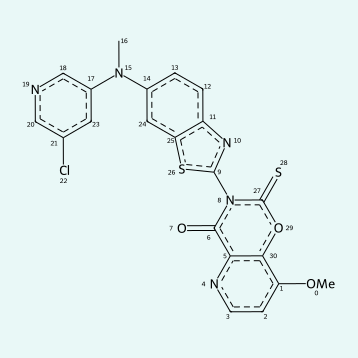 COc1ccnc2c(=O)n(-c3nc4ccc(N(C)c5cncc(Cl)c5)cc4s3)c(=S)oc12